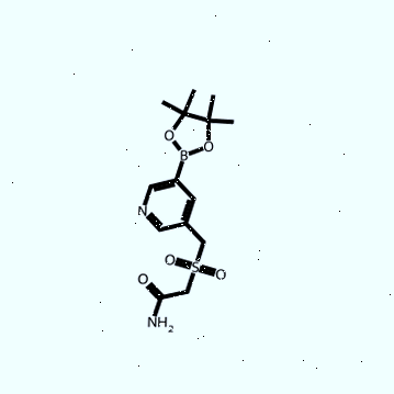 CC1(C)OB(c2cncc(CS(=O)(=O)CC(N)=O)c2)OC1(C)C